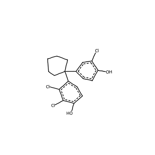 Oc1ccc(C2(c3ccc(O)c(Cl)c3Cl)CCCCC2)cc1Cl